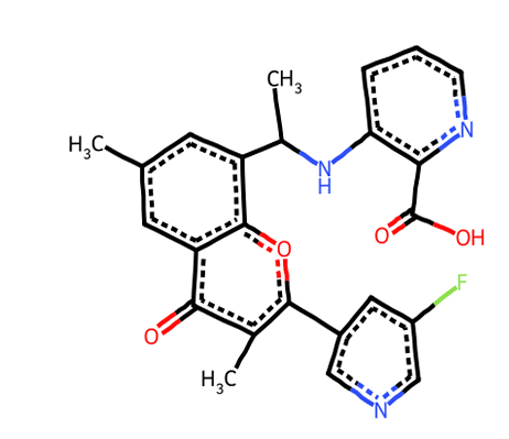 Cc1cc(C(C)Nc2cccnc2C(=O)O)c2oc(-c3cncc(F)c3)c(C)c(=O)c2c1